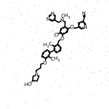 Cc1c(COc2cc(OCc3cncc(C#N)c3)c(CN(C)Cc3cncnc3)cc2Cl)cccc1-c1cccc(OCCCN2CC[C@@H](O)C2)c1C